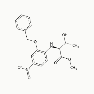 COC(=O)[C@@H](Nc1ccc([N+](=O)[O-])cc1OCc1ccccc1)[C@@H](C)O